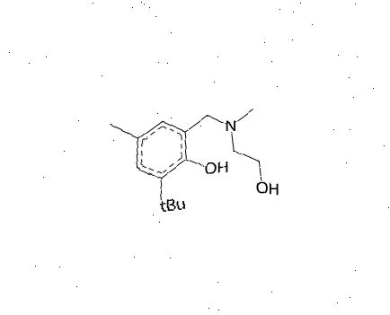 Cc1cc(CN(C)CCO)c(O)c(C(C)(C)C)c1